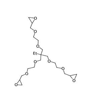 CCC(COCCOCC1CO1)(COCCOCC1CO1)COCCOCC1CO1